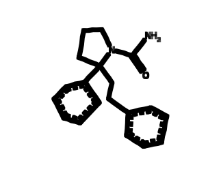 NC(=O)N1CCCC1(CCc1ccccc1)c1ccccc1